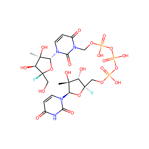 C[C@]1(O)[C@H](n2ccc(=O)[nH]c2=O)O[C@](F)(COP(=O)(O)OP(=O)(O)OP(=O)(O)OCn2c(=O)ccn([C@@H]3O[C@](F)(CO)[C@@H](O)[C@@]3(C)O)c2=O)[C@H]1O